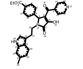 CCOC(=O)c1ccc(C2C(C(=O)c3ccncc3)=C(O)C(=O)N2CCc2c[nH]c3cc(C)ccc23)cc1